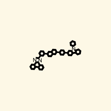 c1ccc(-n2c3ccccc3c3ccc(-c4ccc(-c5ccc6cc(-c7cccc(-c8cnc9c%10ccccc%10c%10ccccc%10c9n8)c7)ccc6c5)cc4)cc32)cc1